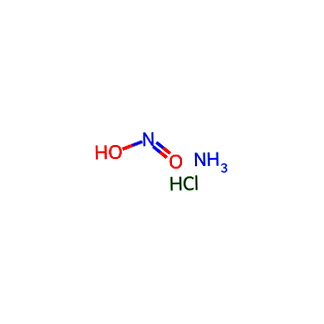 Cl.N.O=NO